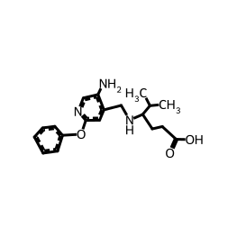 CC(C)C(CCC(=O)O)NCc1cc(Oc2ccccc2)ncc1N